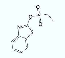 CCS(=O)(=O)Oc1nc2ccccc2s1